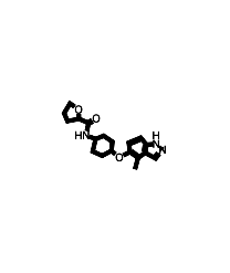 Cc1c(OC2CCC(NC(=O)C3CCCO3)CC2)ccc2[nH]ncc12